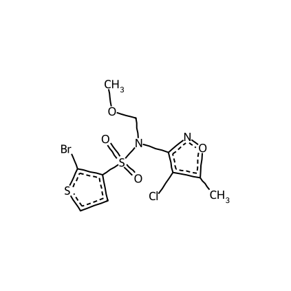 COCN(c1noc(C)c1Cl)S(=O)(=O)c1ccsc1Br